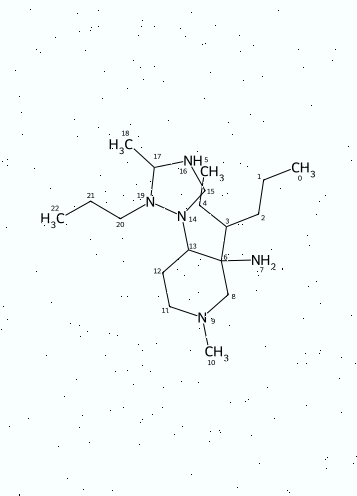 CCCC(CC)C1(N)CN(C)CCC1N1CNC(C)N1CCC